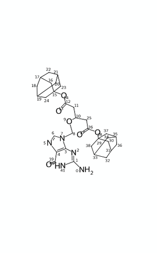 Nc1nc2c(ncn2COC(CC(=O)OC23CC4CC(CC(C4)C2)C3)CC(=O)OC23CC4CC(CC(C4)C2)C3)c(=O)[nH]1